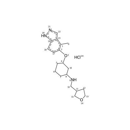 Cc1c(OC2CCCC(NCC3CCOC3)C2)ccc2[nH]ncc12.Cl